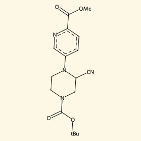 COC(=O)c1ccc(N2CCN(C(=O)OC(C)(C)C)CC2C#N)cn1